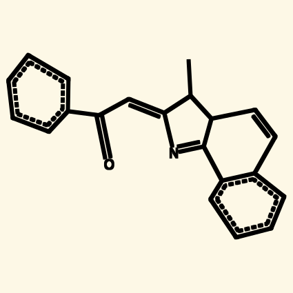 CC1C(=CC(=O)c2ccccc2)N=C2c3ccccc3C=CC21